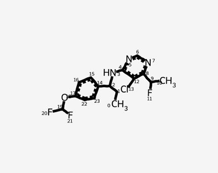 CCC(Nc1ncnc(C(C)F)c1Cl)c1ccc(OC(F)F)cc1